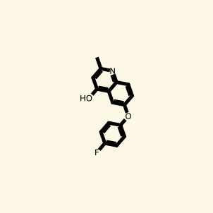 Cc1cc(O)c2cc(Oc3ccc(F)cc3)ccc2n1